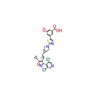 COc1cc(C(=O)O)cc(-c2cnc(N3CC4C(/C=C/c5c(-c6c(Cl)cncc6Cl)noc5C5CC5)C4C3)s2)c1